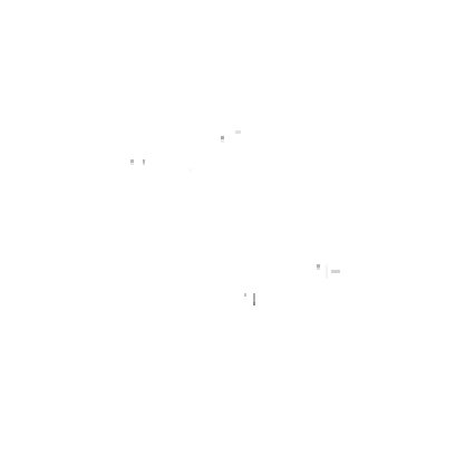 FC(F)(F)c1occc1-c1c[nH]cn1